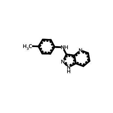 Cc1ccc(Nc2n[nH]c3cccnc23)cc1